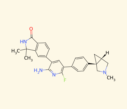 CN1C[C@H]2C[C@@]2(c2ccc(-c3cc(-c4ccc5c(c4)C(C)(C)NC5=O)c(N)nc3F)cc2)C1